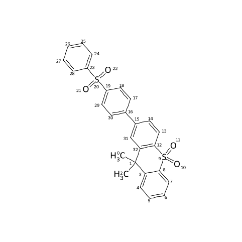 CC1(C)c2ccccc2S(=O)(=O)c2ccc(-c3ccc(S(=O)(=O)c4ccccc4)cc3)cc21